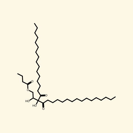 CCCCCCCCCCCCCCCC(=O)C(O)(C(=O)CCCCCCCCCCCCCCC)C(O)COC(=O)CCC